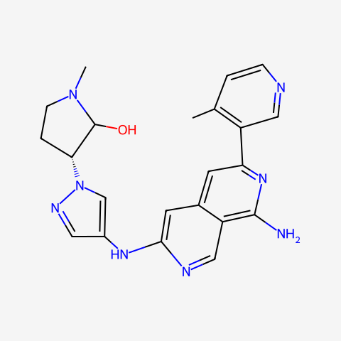 Cc1ccncc1-c1cc2cc(Nc3cnn([C@@H]4CCN(C)C4O)c3)ncc2c(N)n1